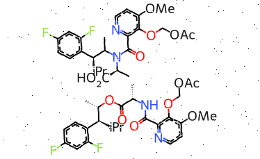 COc1ccnc(C(=O)N(C(C)[C@H](c2ccc(F)cc2F)C(C)C)[C@@H](C)C(=O)O)c1OCOC(C)=O.COc1ccnc(C(=O)N[C@@H](C)C(=O)O[C@@H](C)[C@H](c2ccc(F)cc2F)C(C)C)c1OCOC(C)=O